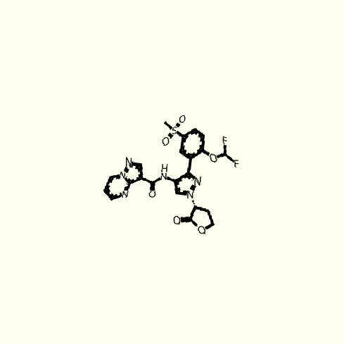 CS(=O)(=O)c1ccc(OC(F)F)c(-c2nn([C@@H]3CCOC3=O)cc2NC(=O)c2cnn3cccnc23)c1